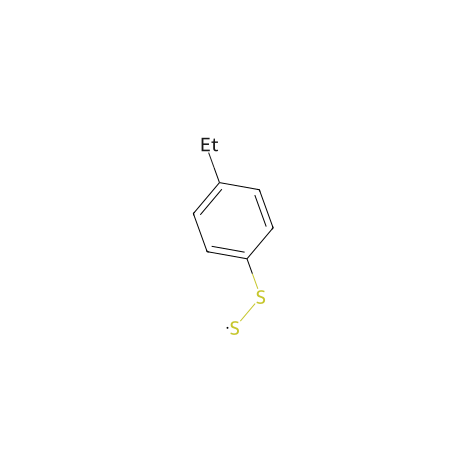 CCc1ccc(S[S])cc1